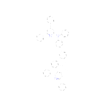 CC(c1cc(-c2ccccc2)nc(-c2ccccc2)c1)C1Cc2ccc(-c3ccc4c(c3)c3ccccc3n4-c3cc(-c4ccccc4)cc(-c4ccccc4)n3)cc2-c2ccccc21